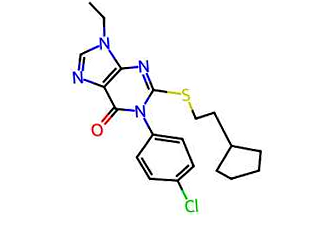 CCn1cnc2c(=O)n(-c3ccc(Cl)cc3)c(SCCC3CCCC3)nc21